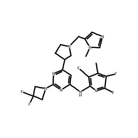 Cc1c(F)c(F)nc(Nc2cc(C3CCN(Cc4cncn4C)C3)nc(N3CC(F)(F)C3)n2)c1F